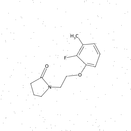 Cc1[c]ccc(OCCN2CCCC2=O)c1F